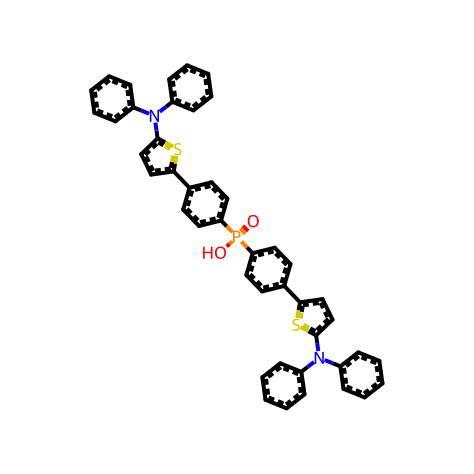 O=P(O)(c1ccc(-c2ccc(N(c3ccccc3)c3ccccc3)s2)cc1)c1ccc(-c2ccc(N(c3ccccc3)c3ccccc3)s2)cc1